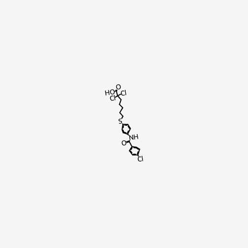 O=C(Nc1ccc(SCCCCCC(Cl)(Cl)C(=O)O)cc1)c1ccc(Cl)cc1